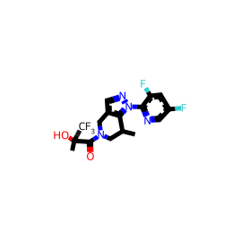 CC1CN(C(=O)C(C)(O)C(F)(F)F)Cc2cnn(-c3ncc(F)cc3F)c21